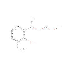 Bc1c(OC)cccc1[C@@H](CC)OCOCC